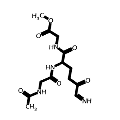 COC(=O)CNC(=O)C(CCC(=O)C=N)NC(=O)CNC(C)=O